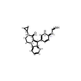 N=C/N=c1/ccc(-c2c3n(c4cccnc24)CCN(C2CC2)C3=O)c[nH]1